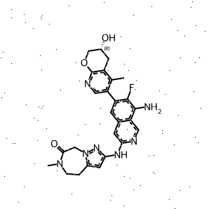 Cc1c(-c2cc3cc(Nc4cc5n(n4)CC(=O)N(C)CC5)ncc3c(N)c2F)cnc2c1C[C@@H](O)CO2